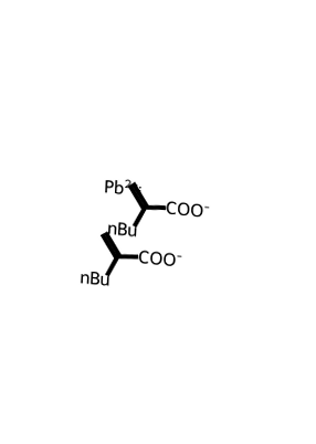 C=C(CCCC)C(=O)[O-].C=C(CCCC)C(=O)[O-].[Pb+2]